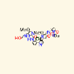 COc1cnc(C(=O)Nc2cccc(-c3nccc(-c4ccc(CN(C[C@@H]5CCC(=O)N5)C(=O)OC(C)(C)C)c(OC)n4)c3Cl)c2C)cc1CNCCO